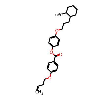 C=CCCOc1ccc(C(=O)Oc2ccc(OCCCC3CCCCC3CCC)cc2)cc1